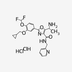 CC(N)c1oc(-c2ccc(OC(F)F)c(OCC3CC3)c2)nc1C(=O)NCc1ccccn1.Cl.Cl